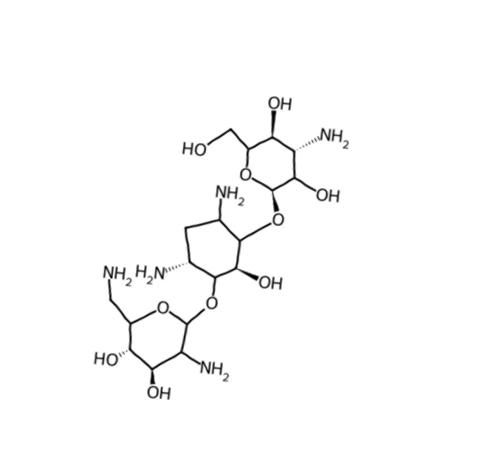 NCC1OC(OC2[C@H](O)C(O[C@H]3OC(CO)[C@@H](O)[C@H](N)C3O)C(N)C[C@H]2N)C(N)[C@@H](O)[C@@H]1O